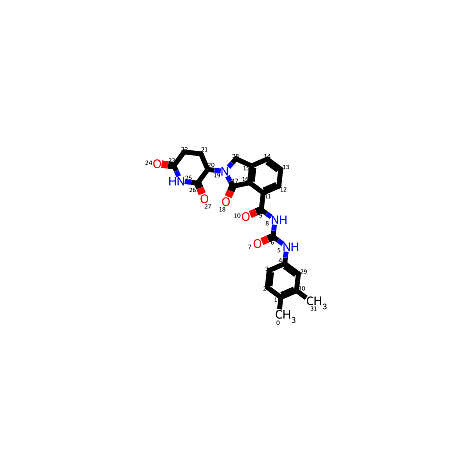 Cc1ccc(NC(=O)NC(=O)c2cccc3c2C(=O)N(C2CCC(=O)NC2=O)C3)cc1C